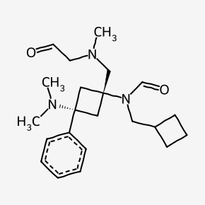 CN(CC=O)C[C@]1(N(C=O)CC2CCC2)C[C@@](c2ccccc2)(N(C)C)C1